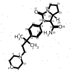 CC(C)(CCN1CCOCC1)c1ccc(N2C(=O)N3CC[CH][C@@H]3C2C(N)=O)cc1